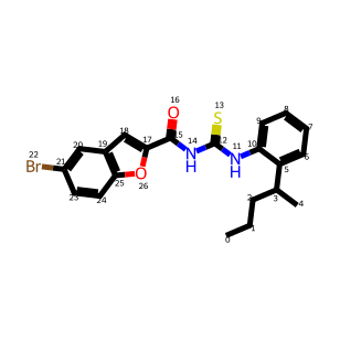 CCCC(C)c1ccccc1NC(=S)NC(=O)c1cc2cc(Br)ccc2o1